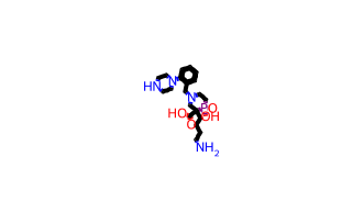 NCCCCC1(C(=O)O)CN(Cc2ccccc2N2CCNCC2)CCP1(=O)O